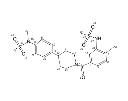 Cc1ccc(C(=O)N2CCC(c3ccc(N(C)S(C)(=O)=O)cc3)CC2)cc1NS(C)(=O)=O